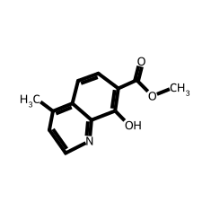 COC(=O)c1ccc2c(C)ccnc2c1O